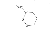 O=CC1CCCOO1